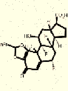 CCCC1OC2=C(O1)[C@@]1(C)C(=CC2=O)[C@@H](F)C[C@H]2[C@@H]3CC[C@H](C(=O)O)[C@@]3(C)C[C@H](O)[C@@]21F